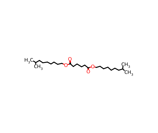 CC(C)CCCCCCCOC(=O)CCCCC(=O)OCCCCCCCC(C)C